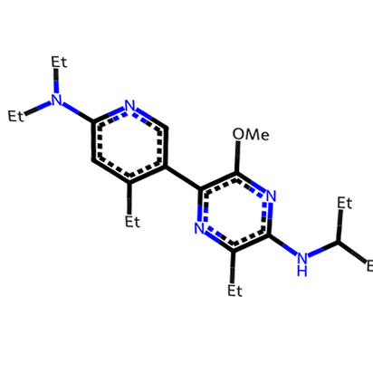 CCc1cc(N(CC)CC)ncc1-c1nc(CC)c(NC(CC)CC)nc1OC